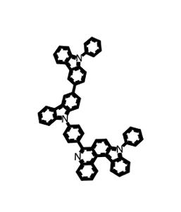 c1ccc(-n2c3ccccc3c3cc(-c4ccc5c(c4)c4ccccc4n5-c4ccc(-c5nc6ccccc6c6c5ccc5c6c6ccccc6n5-c5ccccc5)cc4)ccc32)cc1